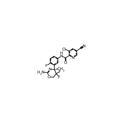 C[C@]1(c2cc(NC(=O)c3ncc(C#N)cc3Cl)ccc2F)N=C(N)OCC1(F)F